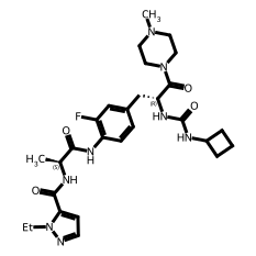 CCn1nccc1C(=O)N[C@@H](C)C(=O)Nc1ccc(C[C@@H](NC(=O)NC2CCC2)C(=O)N2CCN(C)CC2)cc1F